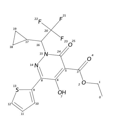 CCOC(=O)c1c(O)c(-c2cccs2)nn(C(C2CC2)C(F)(F)F)c1=O